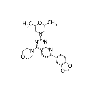 CC1CN(c2nc(N3CCOCC3)c3ccc(-c4ccc5c(c4)OCO5)nc3n2)CC(C)O1